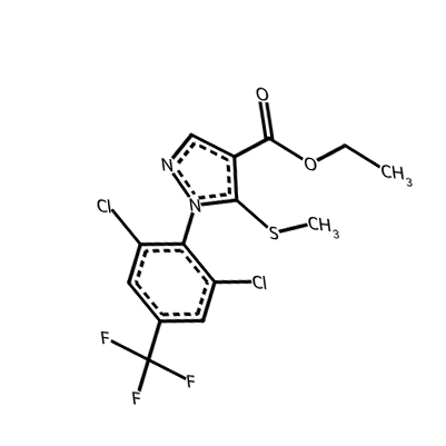 CCOC(=O)c1cnn(-c2c(Cl)cc(C(F)(F)F)cc2Cl)c1SC